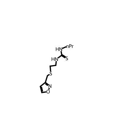 CCCNC(=S)NCCSCc1ccon1